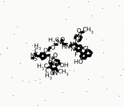 CCC(=O)N1CCN(c2nc(NCCC(=O)N(C)CCOCCOc3cc(-c4scnc4C)ccc3CNC(=O)[C@@H]3C[C@@H](O)CN3C(=O)[C@H](c3cc(C)no3)C(C)C)nc3c(F)c(-c4cc(O)cc5ccccc45)c(Cl)cc23)CC1